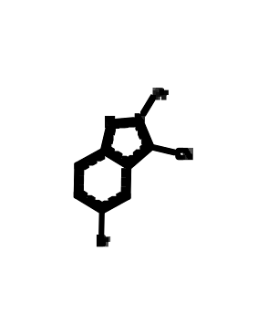 CC(C)n1nc2ccc(Br)cc2c1C#N